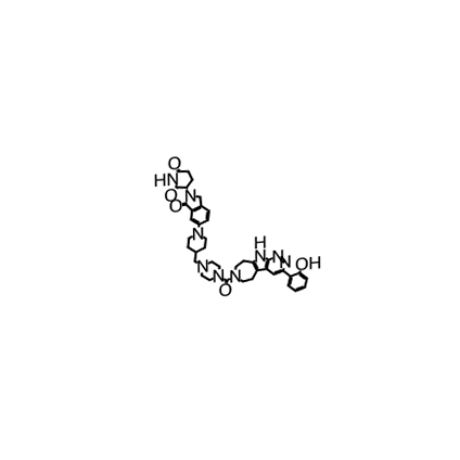 O=C1CC[C@H](N2Cc3ccc(N4CCC(CN5CCN(C(=O)N6CCc7[nH]c8nnc(-c9ccccc9O)cc8c7CC6)CC5)CC4)cc3C2=O)C(=O)N1